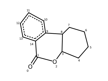 O=C1OC2CCCCC2c2ccccc21